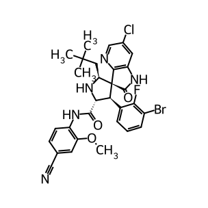 COc1cc(C#N)ccc1NC(=O)[C@@H]1N[C@@H](CC(C)(C)C)[C@@]2(C(=O)Nc3cc(Cl)cnc32)[C@H]1c1cccc(Br)c1F